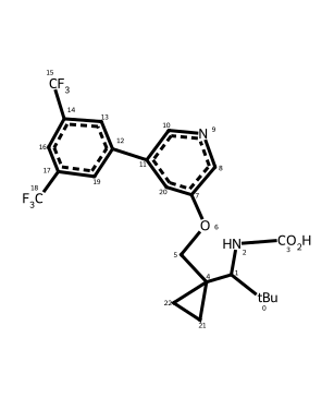 CC(C)(C)C(NC(=O)O)C1(COc2cncc(-c3cc(C(F)(F)F)cc(C(F)(F)F)c3)c2)CC1